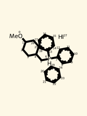 COC1CCC(C[PH](c2ccccc2)(c2ccccc2)c2ccccc2)CC1.I